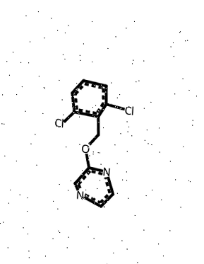 Clc1cccc(Cl)c1COc1cn[c]cn1